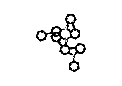 c1ccc(-c2ccc(-n3c4ccccc4c4cccc(-n5c6ccccc6c6ccc7c(c8ccccc8n7-c7ccccc7)c65)c43)cc2)cc1